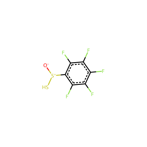 [O-][S+](S)c1c(F)c(F)c(F)c(F)c1F